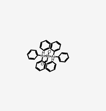 O=[CH][Rh]([Cl])([AsH](c1ccccc1)(c1ccccc1)c1ccccc1)[AsH](c1ccccc1)(c1ccccc1)c1ccccc1